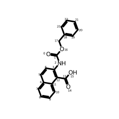 O=C(Nc1ccc2ccccc2c1C(=O)O)OCc1ccccc1